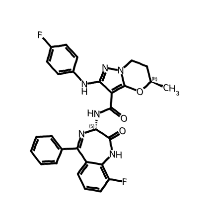 C[C@@H]1CCn2nc(Nc3ccc(F)cc3)c(C(=O)N[C@H]3N=C(c4ccccc4)c4cccc(F)c4NC3=O)c2O1